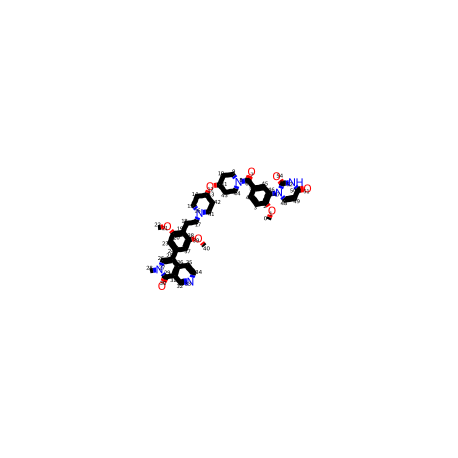 COc1ccc(C(=O)N2CCC(OC3CCN(CCc4c(OC)cc(-c5cn(C)c(=O)c6cnccc56)cc4OC)CC3)CC2)cc1-n1ccc(=O)[nH]c1=O